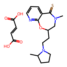 CC1CCCN1CCC1CN(C)C(=S)c2cccnc2O1.O=C(O)/C=C/C(=O)O